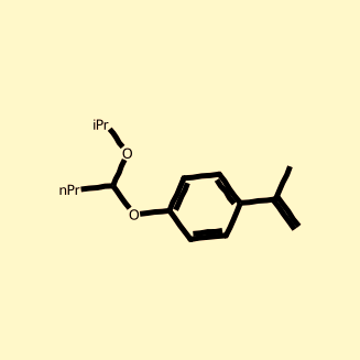 C=C(C)c1ccc(OC(CCC)OC(C)C)cc1